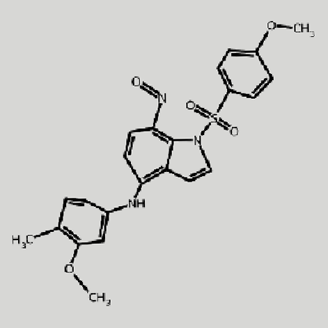 COc1ccc(S(=O)(=O)n2ccc3c(Nc4ccc(C)c(OC)c4)ccc(N=O)c32)cc1